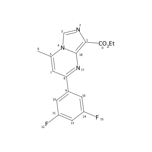 CCOC(=O)c1ncn2c(C)cc(-c3cc(F)cc(F)c3)nc12